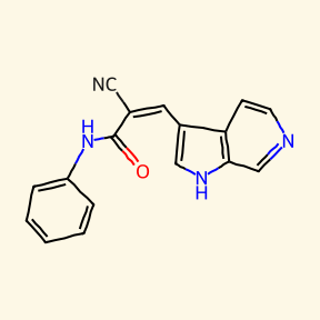 N#C/C(=C/c1c[nH]c2cnccc12)C(=O)Nc1ccccc1